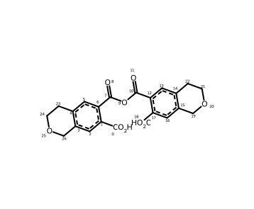 O=C(O)c1cc2c(cc1C(=O)OC(=O)c1cc3c(cc1C(=O)O)COCC3)CCOC2